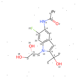 CC(C)C(=O)Nc1cc2cc(C(C)(C)O)n(C[C@@H](O)CO)c2cc1F